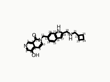 O=c1c2cncc(O)c2ccn1Cc1ccc2cc(CNCC3CCC3)[nH]c2c1